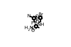 Cc1cc([S+](N)[O-])ccc1NC(=O)Cc1ccc(Br)c(Oc2cc(C#N)cc(C(F)F)c2)c1F